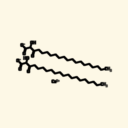 CCCCCCCCCCCCCCCCCC(=O)C(O)C(=O)[O-].CCCCCCCCCCCCCCCCCC(=O)C(O)C(=O)[O-].[Ca+2]